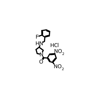 Cl.O=C(c1cc([N+](=O)[O-])cc([N+](=O)[O-])c1)N1CCC(NCc2ccccc2F)C1